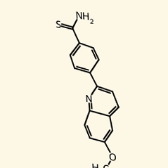 COc1ccc2nc(-c3ccc(C(N)=S)cc3)ccc2c1